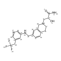 NC(=O)C(O)CN1CCc2ccc(CNc3cncc(CC(F)(F)F)c3)cc2C1